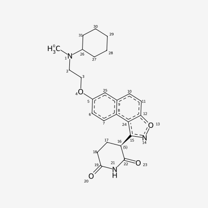 CN(CCOc1ccc2c(ccc3onc([C@@H]4CCC(=O)NC4=O)c32)c1)C1CCCCC1